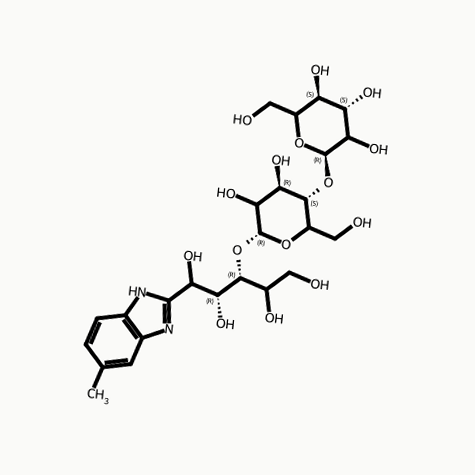 Cc1ccc2[nH]c(C(O)[C@@H](O)[C@H](O[C@H]3OC(CO)[C@@H](O[C@H]4OC(CO)[C@@H](O)[C@H](O)C4O)[C@H](O)C3O)C(O)CO)nc2c1